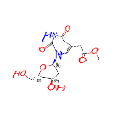 COC(=O)Cc1cn([C@H]2C[C@@H](O)[C@H](CO)O2)c(=O)[nH]c1=O